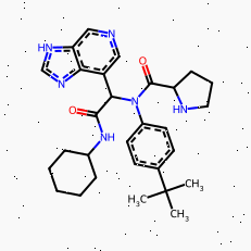 CC(C)(C)c1ccc(N(C(=O)C2CCCN2)C(C(=O)NC2CCCCC2)c2cncc3[nH]cnc23)cc1